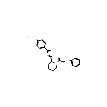 COc1ccc(-c2noc(C3CCCCN3C(=O)COc3ccccc3)n2)cc1